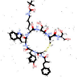 CC(Cc1ccccc1)C(=O)NC1CSSCC(C(=O)N[C@H](CO)[C@@H](C)O)NC(=O)[C@H]([C@@H](C)O)NC(=O)[C@H](CCCCNC(=O)OC(C)(C)C)NC(=O)[C@H](Cc2c[nH]c3ccccc23)NC(=O)[C@H](Cc2ccc(O)cc2)NC1=O